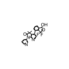 CC1(C)C(=O)N(c2cccnc2)c2nccc(-c3cccc(C(=O)O)c3C(F)(F)F)c21